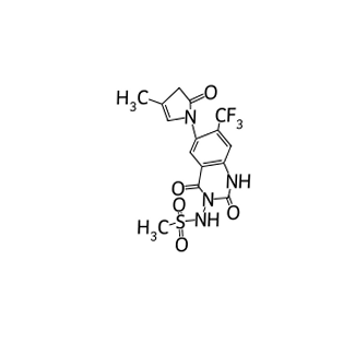 CC1=CN(c2cc3c(=O)n(NS(C)(=O)=O)c(=O)[nH]c3cc2C(F)(F)F)C(=O)C1